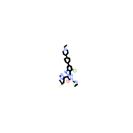 CCN1CCC(c2ccc(-c3cc(Cl)c4cn([C@@H](C(=O)Nc5nccs5)c5ncn6c5C[C@@H](F)C6)nc4c3)cc2)CC1